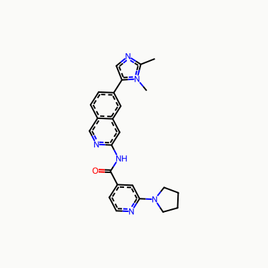 Cc1ncc(-c2ccc3cnc(NC(=O)c4ccnc(N5CCCC5)c4)cc3c2)n1C